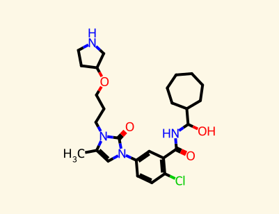 Cc1cn(-c2ccc(Cl)c(C(=O)NC(O)C3CCCCCC3)c2)c(=O)n1CCCOC1CCNC1